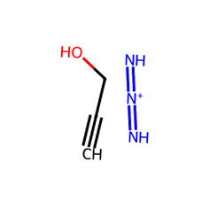 C#CCO.N=[N+]=N